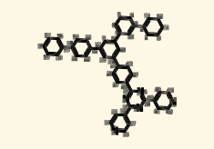 C1=CC(c2cccc(-c3cc(-c4ccc(-c5ccccc5)cc4)cc(-c4ccc(-c5nc(-c6ccncc6)nc(-c6ccncc6)n5)cc4)c3)c2)=CCC1